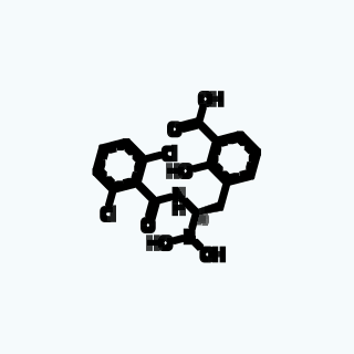 O=C(O)c1cccc(C[C@H](NC(=O)c2c(Cl)cccc2Cl)B(O)O)c1O